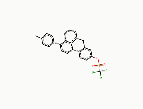 Cc1ccc(-c2ccc3c4c(cccc24)Cc2cc(OS(=O)(=O)C(F)(F)F)ccc2-3)cc1